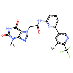 Cc1cc(-c2cccc(NC(=O)Cn3cnc4c3c(=O)[nH]c(=O)n4C)n2)cnc1C(F)(F)F